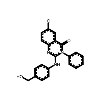 O=c1c2cc(Cl)ccc2nc(Nc2ccc(CO)cc2)n1-c1ccccc1